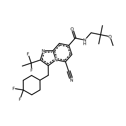 COC(C)(C)CNC(=O)c1cc(C#N)n2c(CC3CCC(F)(F)CC3)c(C(C)(F)F)nc2c1